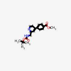 COC(=O)c1ccc(-c2ccnc(CNC(=O)OC(C)(C)C)c2)cc1